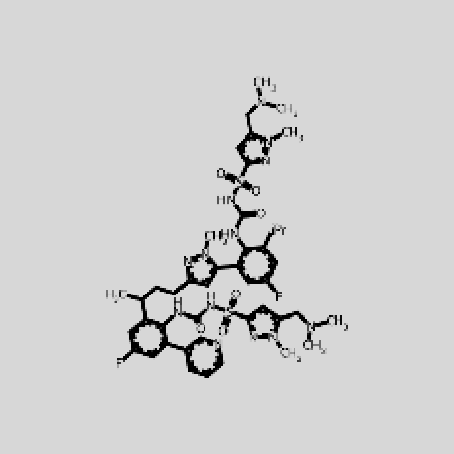 CC(C)c1cc(F)cc(-c2cc(CCC(C)c3cc(F)cc(-c4cccnc4)c3NC(=O)NS(=O)(=O)c3cc(CN(C)C)n(C)n3)nn2C)c1NC(=O)NS(=O)(=O)c1cc(CN(C)C)n(C)n1